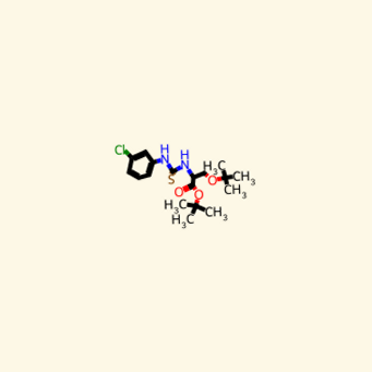 CC(C)(C)OCC(NC(=S)Nc1cccc(Cl)c1)C(=O)OC(C)(C)C